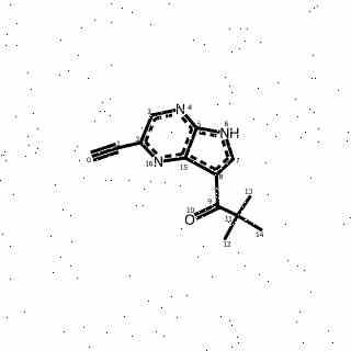 C#Cc1cnc2[nH]cc(C(=O)C(C)(C)C)c2n1